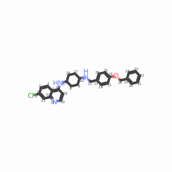 Clc1ccc2c(NC3CCC(NCc4ccc(OCc5ccccc5)cc4)CC3)ccnc2c1